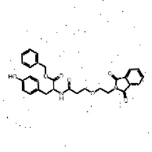 O=C(CCOCCN1C(=O)c2ccccc2C1=O)NC(Cc1ccc(O)cc1)C(=O)OCc1ccccc1